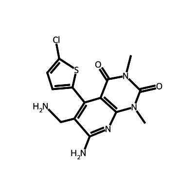 Cn1c(=O)c2c(-c3ccc(Cl)s3)c(CN)c(N)nc2n(C)c1=O